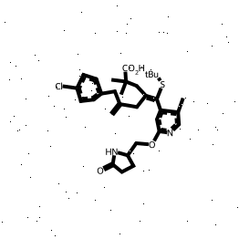 C=C(C/C(CC(C)(C)C(=O)O)=C(/SC(C)(C)C)c1cc(OCC2CCC(=O)N2)ncc1C)Cc1ccc(Cl)cc1